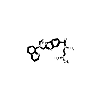 CCN(Cc1nc2cc(C(=O)N(C)CCN(C)C)ccc2[nH]1)C1CCCc2cccnc21